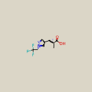 C/C(=C\c1cnn(CC(F)(F)F)c1)C(=O)O